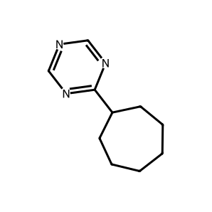 c1ncnc(C2CCCCCC2)n1